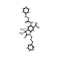 CC1(C)C(=O)N(CCCc2cccnc2)c2cc([N+](=O)[O-])c(NC(=O)CCc3ccccc3)cc21